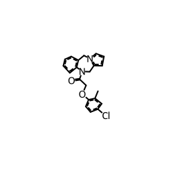 Cc1cc(Cl)ccc1OCC(=O)N1Cc2cccn2Cc2ccccc21